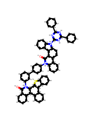 O=c1c2c(ccc3c2c2ccccc2n3-c2nc(-c3ccccc3)nc(-c3ccccc3)n2)c2ccccc2n1-c1ccc(-c2cccc(-n3c(=O)c4ccccc4c4c5ccccc5c5c6ccccc6sc5c43)c2)cc1